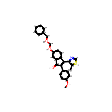 COc1ccc(C2=C(c3ncsc3C)c3ccc(OCOCc4ccccc4)cc3C2=O)cc1